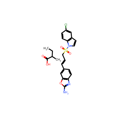 CCC(C)C(=O)O.Nc1nc2ccc(C=CCS(=O)(=O)n3ccc4cc(Cl)ccc43)cc2o1